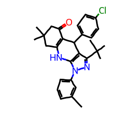 Cc1cccc(-n2nc(C(C)(C)C)c3c2NC2=C(C(=O)CC(C)(C)C2)C3c2ccc(Cl)cc2)c1